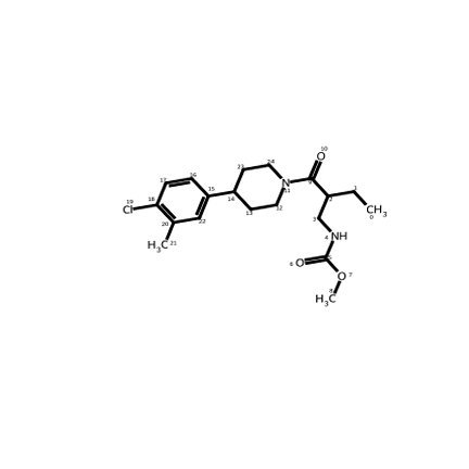 CCC(CNC(=O)OC)C(=O)N1CCC(c2ccc(Cl)c(C)c2)CC1